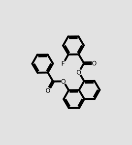 O=C(Oc1cccc2cccc(OC(=O)c3ccccc3F)c12)c1ccccc1